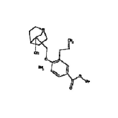 B.C=CCc1cc(C(=O)OC(C)C)ccc1OCC1(O)CN2CCC1CC2